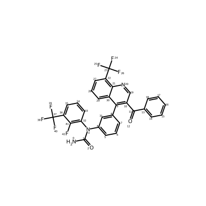 NC(=O)N(c1cccc(-c2c(C(=O)c3ccccc3)cnc3c(C(F)(F)F)cccc23)c1)c1cccc(C(F)(F)F)c1F